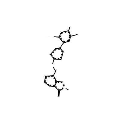 COc1cc(F)c(F)cc1-c1ccc(OCc2cccc3c(=O)n(C)[nH]c23)cc1